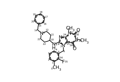 Cc1cccc(Cn2c(NC3CCN(Cc4ccccc4)CC3)nc3c2c(=O)n(C)c(=O)n3C)c1F